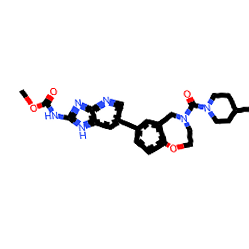 COC(=O)Nc1nc2ncc(-c3ccc4c(c3)CN(C(=O)N3CCC(C)CC3)CCO4)cc2[nH]1